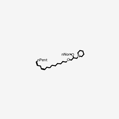 CCCCC/C=C\C/C=C\CCCCCCCCOCC(CN1CCCCC1)OCCCCCCCCC